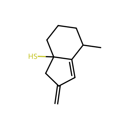 C=C1C=C2C(C)CCCC2(S)C1